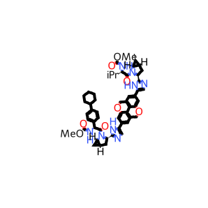 COC(=O)N[C@H](C(=O)N1[C@@H]2[C@H](C)[C@@H]2C[C@H]1c1ncc(-c2cc3c4c(c2)OCc2cc(-c5cnc([C@@H]6C[C@H]7C[C@H]7N6C(=O)[C@H](NC(=O)OC)c6ccc(C7CCCCC7)cc6)[nH]5)cc(c2-4)OC3)[nH]1)C(C)C